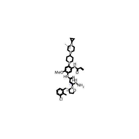 C=CC(=O)Nc1cc(NC(=N)/C=C(\NN)N2OCC[C@@H]2Cc2cccc(Cl)c2C)c(OC)cc1N1CCC(N2CCN(C3CC3)[C@@H](C)C2)CC1